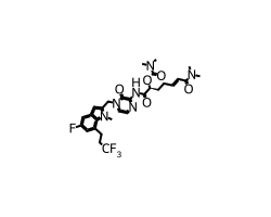 CN(C)C(=O)/C=C/CC[C@H](OC(=O)N(C)C)C(=O)Nc1nccn(Cc2cc3cc(F)cc(CCC(F)(F)F)c3n2C)c1=O